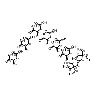 C=C(CC(=O)O)C(=O)O.C=C(CC(=O)O)C(=O)O.C=C(CC(=O)O)C(=O)O.C=C(CC(=O)O)C(=O)O.C=C(CC(=O)O)C(=O)O.C=C(CC(=O)O)C(=O)O.OCC(CO)(CO)COCC(CO)(CO)CO